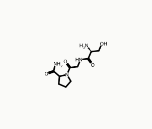 NC(=O)C1CCCN1C(=O)CNC(=O)[C@@H](N)CO